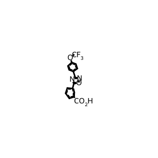 O=C(O)c1cccc(-c2nc(-c3ccc(OC(F)(F)F)cc3)no2)c1